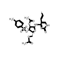 CC(=O)OC[C@H]1O[C@@H](Nc2nc(=O)[nH]cc2C=CI)[C@H](OC(C)=O)[C@H]1OS(=O)(=O)c1ccc(C)cc1